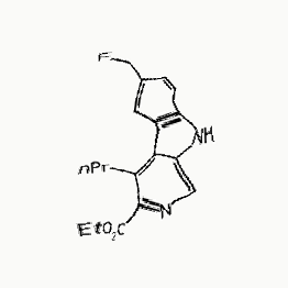 CCCc1c(C(=O)OCC)ncc2[nH]c3ccc(F)cc3c12